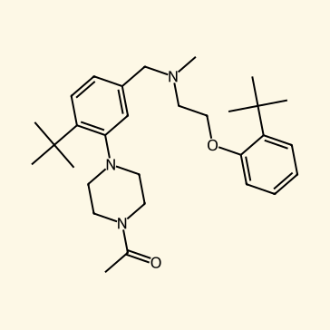 CC(=O)N1CCN(c2cc(CN(C)CCOc3ccccc3C(C)(C)C)ccc2C(C)(C)C)CC1